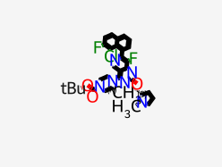 C[C@@H]1CN(C(=O)OC(C)(C)C)CCN1c1nc(OC[C@@H]2CCCN2C)nc2c(F)c(-c3cccc4ccc(F)c(Cl)c34)ncc12